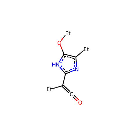 CCOc1[nH]c(C(=C=O)CC)nc1CC